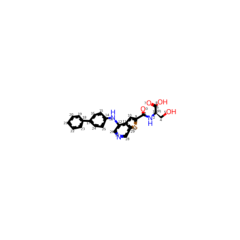 O=C(N[C@H](CO)C(=O)O)c1cc2c(Nc3ccc(-c4ccccc4)cc3)cncc2s1